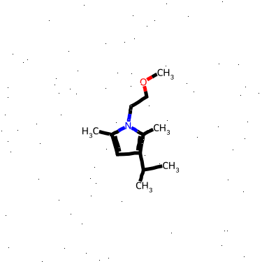 COCCn1c(C)cc(C(C)C)c1C